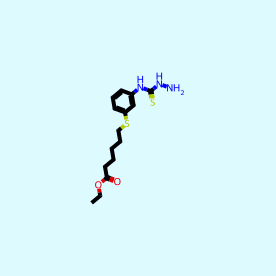 CCOC(=O)CCCCCSc1cccc(NC(=S)NN)c1